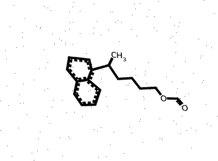 CC(CCCCO[C]=O)c1cccc2ccccc12